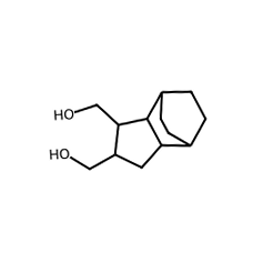 OCC1CC2C3CCC(CC3)C2C1CO